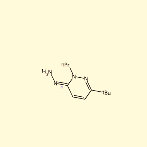 CCCn1nc(C(C)(C)C)cc/c1=N/N